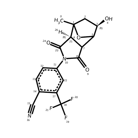 CC12C[C@@H](O)C(O1)C1C(=O)N(c3ccc(C#N)c(C(F)(F)F)c3)C(=O)[C@H]12